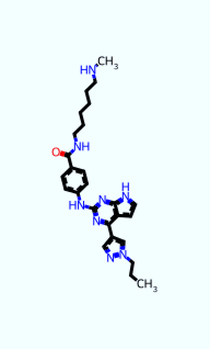 CCCn1cc(-c2nc(Nc3ccc(C(=O)NCCCCCCNC)cc3)nc3[nH]ccc23)cn1